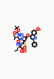 CCC[C@H](NC(=S)[C@@H]1C[C@@H](Oc2cc(-c3ccccc3)nc3cc(OC)ccc23)CN1C(=O)C(NC(=O)OC(C)(C)C)C(C)C)C(=O)O